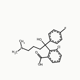 CN(C)CCCC(O)(c1ccc(F)cc1)c1c(Cl)cccc1C(=O)O